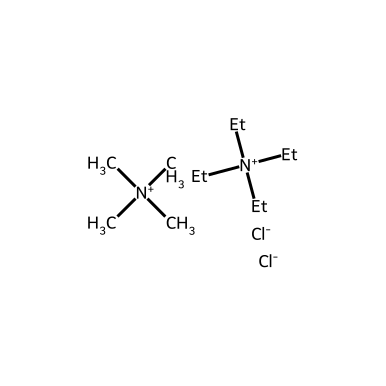 CC[N+](CC)(CC)CC.C[N+](C)(C)C.[Cl-].[Cl-]